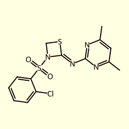 Cc1cc(C)nc(/N=C2\SCN2S(=O)(=O)c2ccccc2Cl)n1